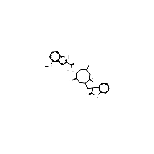 COc1cccc2[nH]c(C(=O)N[C@H]3CC(C)C[C@@H]4C[C@@]5(CC4CC3=O)C(=O)Nc3ccccc35)cc12